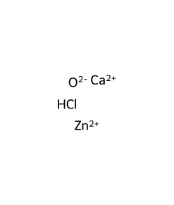 Cl.[Ca+2].[O-2].[Zn+2]